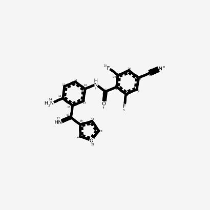 N#Cc1cc(F)c(C(=O)Nc2ccc(N)c(C(=N)c3ccoc3)c2)c(F)c1